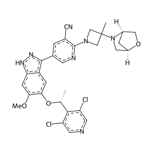 COc1cc2[nH]nc(-c3cnc(N4CC(C)(N5C[C@H]6C[C@@H]5CO6)C4)c(C#N)c3)c2cc1O[C@H](C)c1c(Cl)cncc1Cl